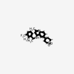 Cc1cc(N[C@H](C)c2cccc(C(F)(F)F)c2C)c2cc(C3=CCS(=O)(=O)CC3)ccc2n1